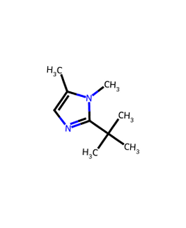 Cc1cnc(C(C)(C)C)n1C